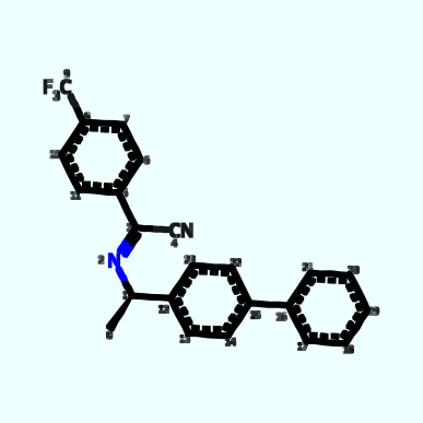 C[C@@H](/N=C(\C#N)c1ccc(C(F)(F)F)cc1)c1ccc(-c2ccccc2)cc1